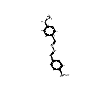 CCCCCc1ccc(C=NN=Cc2ccc(OC(F)(F)F)cc2)cc1